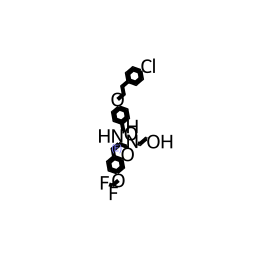 O=C(NCCO)/C(=C\c1ccc(OC(F)F)cc1)NC(=O)c1ccc(OCCc2ccc(Cl)cc2)cc1